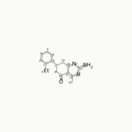 CCc1ccccc1C1CC(=O)c2c(C)nc(N)nc2C1